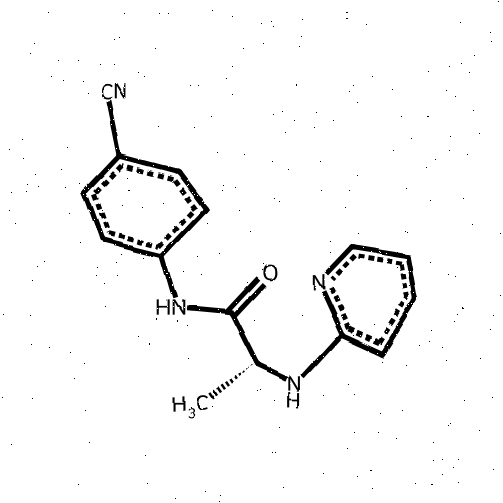 C[C@@H](Nc1ccccn1)C(=O)Nc1ccc(C#N)cc1